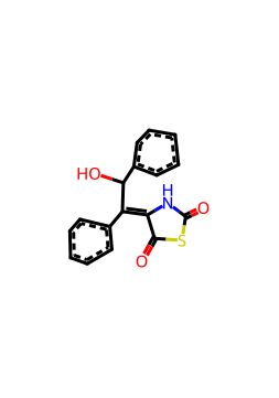 O=C1NC(=C(c2ccccc2)C(O)c2ccccc2)C(=O)S1